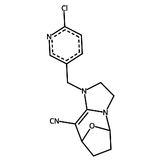 [C-]#[N+]C1=C2N(Cc3ccc(Cl)nc3)CCN2C2CCC1O2